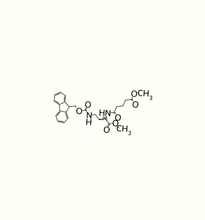 COC(=O)CCCC(=O)N[C@H](CCNC(=O)OCC1c2ccccc2-c2ccccc21)C(=O)OC